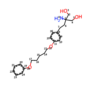 NC(CO)(CO)CCc1ccc(OCCCCCOc2ccccc2)cc1